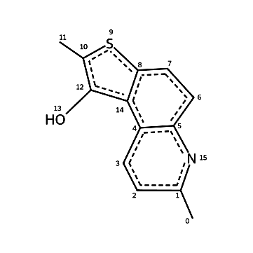 Cc1ccc2c(ccc3sc(C)c(O)c32)n1